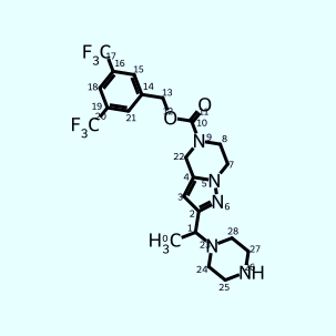 CC(c1cc2n(n1)CCN(C(=O)OCc1cc(C(F)(F)F)cc(C(F)(F)F)c1)C2)N1CCNCC1